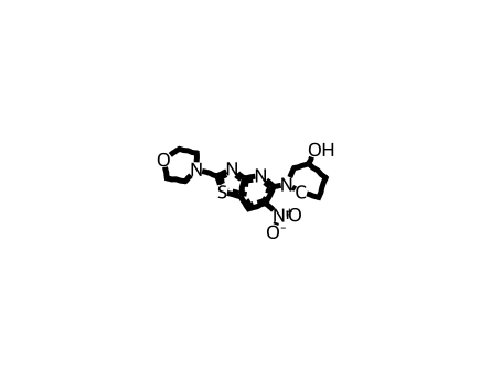 O=[N+]([O-])c1cc2sc(N3CCOCC3)nc2nc1N1CCCC(O)C1